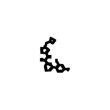 O=C(Nc1cnn(CC2CCC2)c1)c1cccc(-c2ccc(F)cc2F)n1